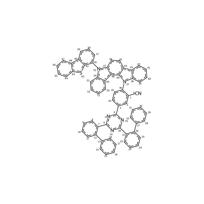 N#Cc1cc(-c2nc(-c3ccccc3-c3ccccc3)nc(-c3ccccc3-c3ccccc3)n2)ccc1-n1c2ccccc2c2ccc3c(c4ccccc4n3-c3cccc4c3sc3ccccc34)c21